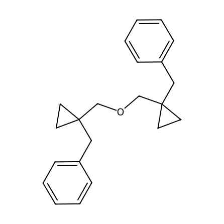 c1ccc(CC2(COCC3(Cc4ccccc4)CC3)CC2)cc1